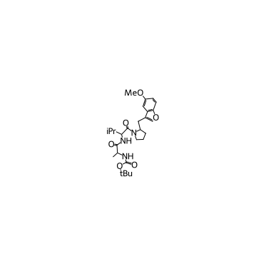 COc1ccc2occ(CC3CCCN3C(=O)C(NC(=O)C(C)NC(=O)OC(C)(C)C)C(C)C)c2c1